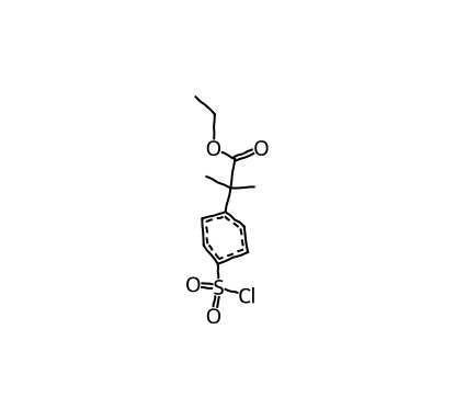 CCOC(=O)C(C)(C)c1ccc(S(=O)(=O)Cl)cc1